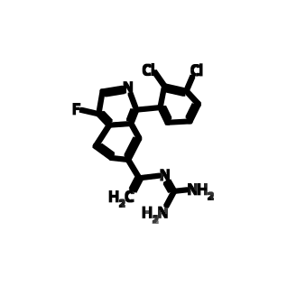 C=C(N=C(N)N)c1ccc2c(F)cnc(-c3cccc(Cl)c3Cl)c2c1